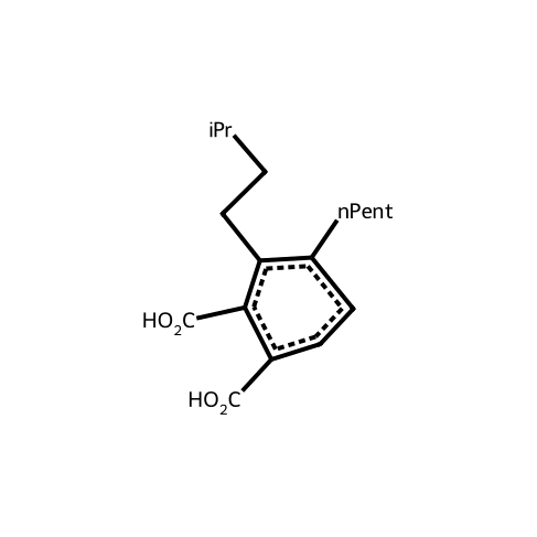 CCCCCc1ccc(C(=O)O)c(C(=O)O)c1CCC(C)C